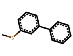 CSc1cc[c]c(-c2ccccc2)c1